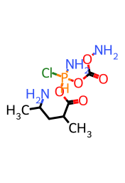 CC(N)CC(C)C(=O)O[PH](N)(Cl)OC(=O)ON